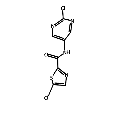 O=C(Nc1cnc(Cl)nc1)c1ncc(Cl)s1